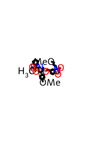 COCCCN1C(=O)COc2ccc(CO[C@H]3CN[C@H](C(c4ccccc4)S(C)(=O)=O)C[C@@H]3c3ccc(OC)cc3)cc21